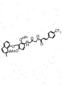 CCCOc1c(NCC(=O)CNC(=O)C=Cc2ccc(C(F)(F)F)cc2)ccc(OC)c1COc1cccc2ccc(C)nc12